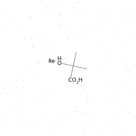 CC(C)(O)C(=O)O.[Re]